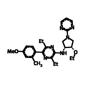 CCO[C@H]1CN(c2ncccn2)C[C@H]1Nc1nc(CC)c(-c2ccc(OC)cc2C)nc1CC